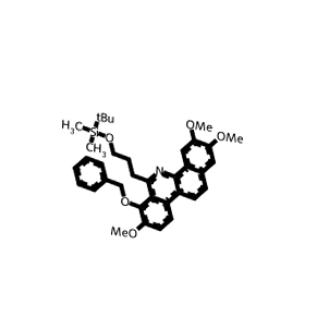 COc1cc2ccc3c4ccc(OC)c(OCc5ccccc5)c4c(CCCO[Si](C)(C)C(C)(C)C)nc3c2cc1OC